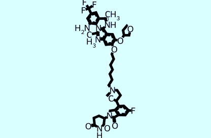 Cc1nc(N[C@H](C)c2cc(N)cc(C(F)(F)F)c2)c2cc(OC3CCOC3)c(OCCCCCCCN3CCC(c4cc(F)cc5c4CN(C4CCC(=O)NC4=O)C5=O)CC3)cc2n1